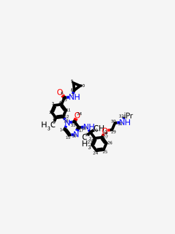 Cc1ccc(C(=O)NC2CC2)cc1-n1ccnc(NC(C)(C)c2ccccc2OCCNC(C)C)c1=O